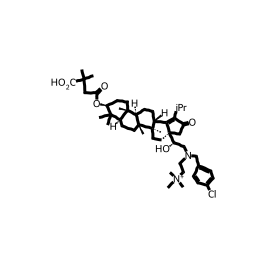 CC(C)C1=C2[C@H]3CC[C@@H]4[C@@]5(C)CC[C@H](OC(=O)CC(C)(C)C(=O)O)C(C)(C)[C@@H]5CC[C@@]4(C)[C@]3(C)CC[C@@]2([C@@H](O)CN(CC[N+](C)(C)C)Cc2ccc(Cl)cc2)CC1=O